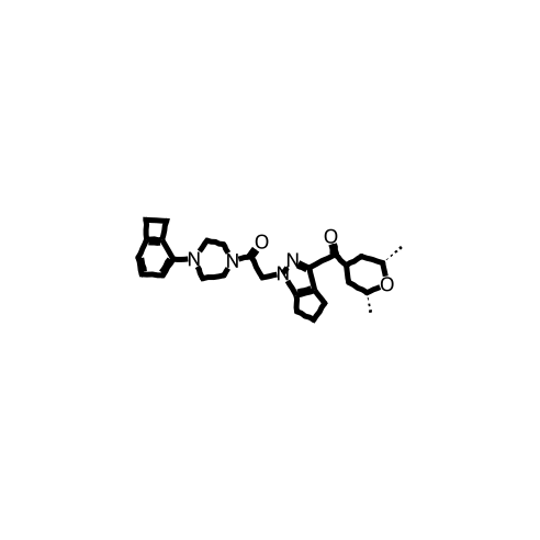 C[C@@H]1CC(C(=O)c2nn(CC(=O)N3CCN(c4cccc5c4CC5)CC3)c3c2CCC3)C[C@H](C)O1